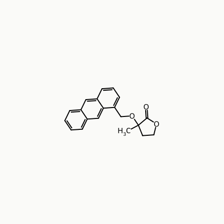 CC1(OCc2cccc3cc4ccccc4cc23)CCOC1=O